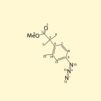 COC(=O)C(C)(C)c1ccc(N=[N+]=[N-])cc1C